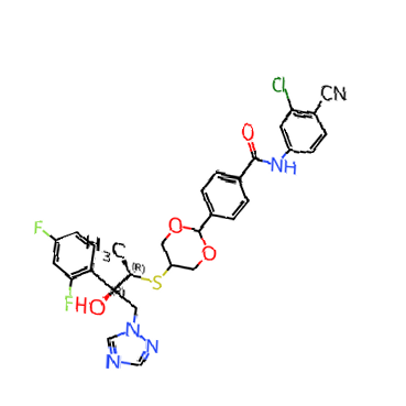 C[C@@H](SC1COC(c2ccc(C(=O)Nc3ccc(C#N)c(Cl)c3)cc2)OC1)[C@](O)(Cn1cncn1)c1ccc(F)cc1F